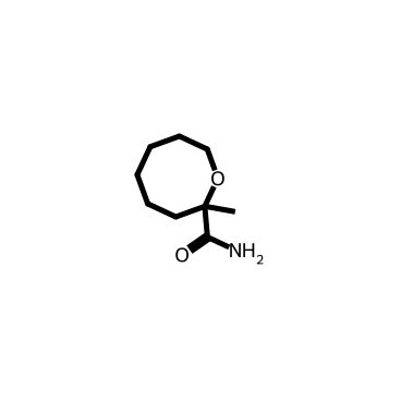 CC1(C(N)=O)CCCCCCO1